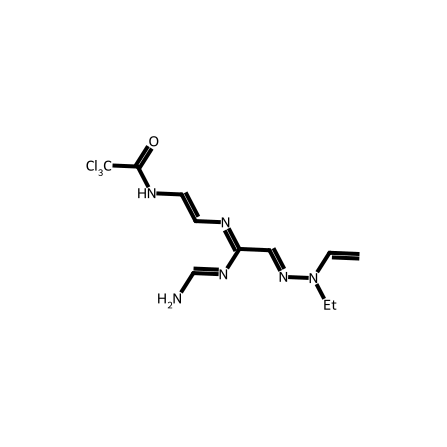 C=CN(CC)/N=C/C(=N/C=C/NC(=O)C(Cl)(Cl)Cl)/N=C/N